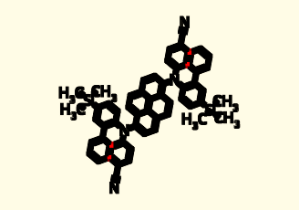 C[Si](C)(C)c1ccc(N(c2ccc(C#N)cc2)c2ccc3ccc4c(N(c5ccc(C#N)cc5)c5ccc([Si](C)(C)C)cc5-c5ccccc5)ccc5ccc2c3c54)c(-c2ccccc2)c1